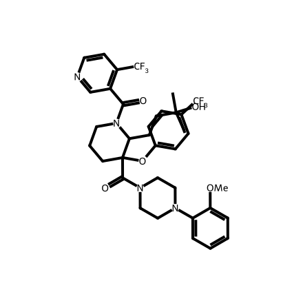 COc1ccccc1N1CCN(C(=O)C2(Oc3ccc(C(F)(F)F)cc3)CCCN(C(=O)c3cnccc3C(F)(F)F)C2CCC(C)(C)O)CC1